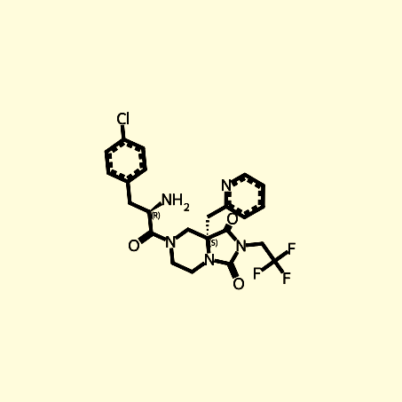 N[C@H](Cc1ccc(Cl)cc1)C(=O)N1CCN2C(=O)N(CC(F)(F)F)C(=O)[C@]2(Cc2ccccn2)C1